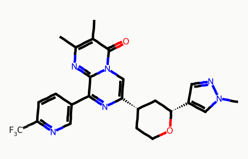 Cc1nc2c(-c3ccc(C(F)(F)F)nc3)nc([C@H]3CCO[C@@H](c4cnn(C)c4)C3)cn2c(=O)c1C